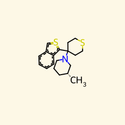 C[C@@H]1CCCN(C2(c3scc4ccccc34)CCSCC2)C1